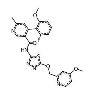 COc1ccnc(COc2nnc(NC(=O)c3cnc(C)cc3-c3c(F)cccc3OC)s2)c1